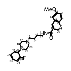 COc1ccc2c(c1)C=C(C(=O)NCCCCN1CCN(c3ccccc3F)CC1)CS2